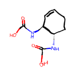 O=C(O)N[C@H]1C=CCC[C@@H]1NC(=O)O